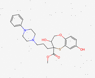 COC(=O)C1(CCCN2CCN(c3ccccc3)CC2)Sc2cc(O)ccc2OCC1O